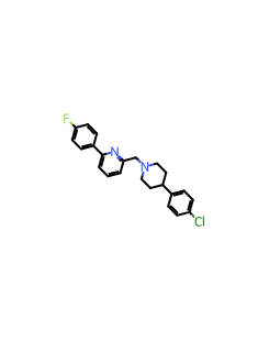 Fc1ccc(-c2cccc(CN3CCC(c4ccc(Cl)cc4)CC3)n2)cc1